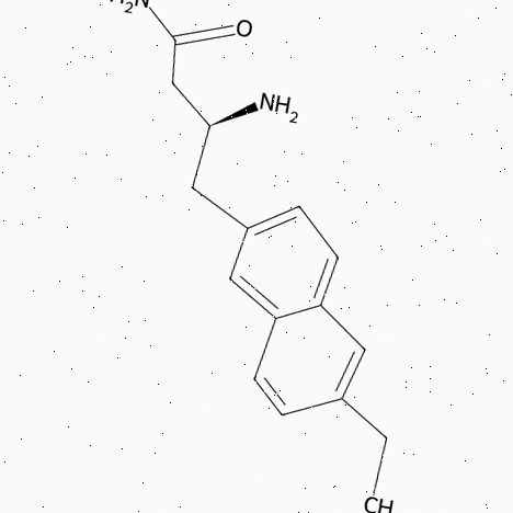 CCc1ccc2cc(C[C@H](N)CC(N)=O)ccc2c1